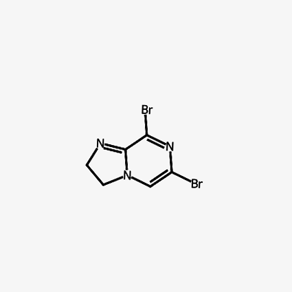 BrC1=CN2CCN=C2C(Br)=N1